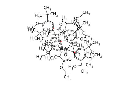 CCOC(=O)C(C)Oc1c(Cl)ccc(P(=O)(c2cc(C(C)(C)C)c(OC)c(C(C)(C)C)c2)c2cc(C(C)(C)C)c(OC)c(C(C)(C)C)c2)c1-c1c(P(=O)(c2cc(C(C)(C)C)c(OC)c(C(C)(C)C)c2)c2cc(C(C)(C)C)c(OC)c(C(C)(C)C)c2)ccc(Cl)c1O[C@@H](C)C(=O)OCC